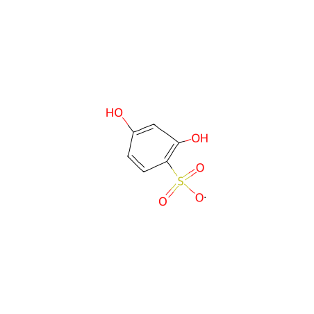 [O]S(=O)(=O)c1ccc(O)cc1O